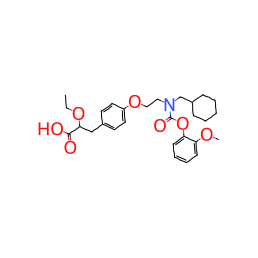 CCOC(Cc1ccc(OCCN(CC2CCCCC2)C(=O)Oc2ccccc2OC)cc1)C(=O)O